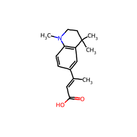 C/C(=C\C(=O)O)c1ccc2c(c1)C(C)(C)CCN2C